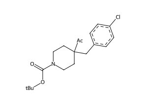 CC(=O)C1(Cc2ccc(Cl)cc2)CCN(C(=O)OC(C)(C)C)CC1